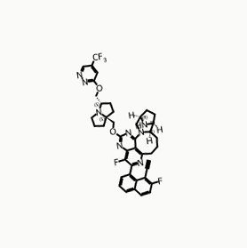 C#Cc1c(F)ccc2cccc(-c3nc4c5c(nc(OC[C@@]67CCCN6[C@H](COc6cc(C(F)(F)F)cnn6)CC7)nc5c3F)N3C[C@H]5CC[C@H](N5)[C@H]3CCC4)c12